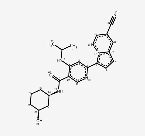 CC(C)Nc1cc(-c2ccc3cc(C#N)cnn23)ncc1C(=O)N[C@@H]1CCC[C@H](O)C1